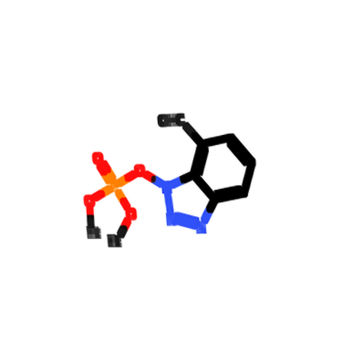 CCOP(=O)(OCC)On1nnc2cccc(C=O)c21